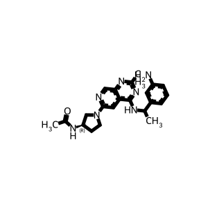 CC(=O)N[C@@H]1CCN(c2cc3c(NC(C)c4cccc(N)c4)nc(C)nc3cn2)C1